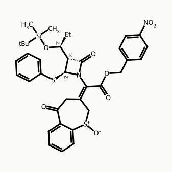 CC[C@H](O[Si](C)(C)C(C)(C)C)[C@@H]1C(=O)N(C(C(=O)OCc2ccc([N+](=O)[O-])cc2)=C2CC(=O)c3ccccc3[S+]([O-])C2)[C@H]1Sc1ccccc1